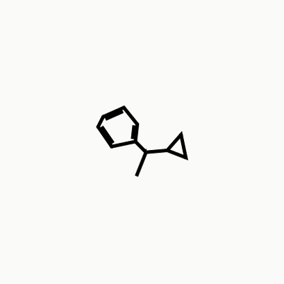 C[C](c1ccccc1)C1CC1